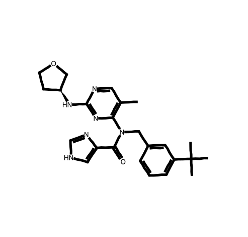 Cc1cnc(N[C@H]2CCOC2)nc1N(Cc1cccc(C(C)(C)C)c1)C(=O)c1c[nH]cn1